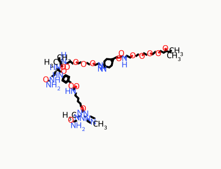 CC(C)C(=O)CCOCCOCCOCCOCCNC(=O)OCC1C2CCc3nnn(CCOCCOCCOCCC(=O)N[C@H](C(=O)N[C@H](CCCNC(N)=O)C(=O)Nc4ccc(COC(=O)NCCCCCCOc5nc(N(C)CC(N)=O)nc(N6CCN(C)CC6)n5)cc4)C(C)C)c3CCC21